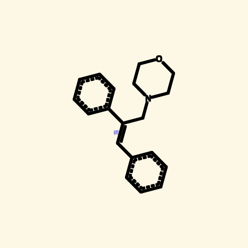 C(=C(/CN1CCOCC1)c1ccccc1)/c1ccccc1